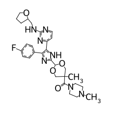 CN1CCN(C(=O)C2(C)COC(c3nc(-c4ccc(F)cc4)c(-c4ccnc(NCC5CCCO5)n4)[nH]3)OC2)CC1